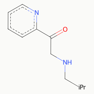 CC(C)CNCC(=O)c1ccccn1